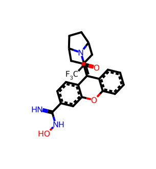 N=C(NO)c1ccc2c(c1)Oc1ccccc1C2=C1CC2CCC(C1)N2C(=O)C(F)(F)F